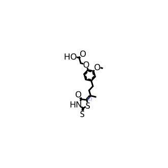 COc1cc(CC/C(C)=C2/SC(=S)NC2=O)ccc1OCC(=O)O